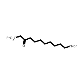 CCCCCCCCCCCCCCCCCC(=O)CC(=O)OCC